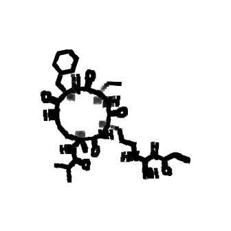 C=CC(=O)NC(=N)NCCC[C@@H]1NC(=O)[C@](C)(NC(=O)C(C)C)CCNC(=O)[C@@H](CC2CCCCC2)NC(=O)[C@H](CC)NC1=O